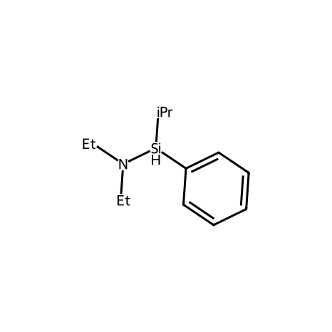 CCN(CC)[SiH](c1ccccc1)C(C)C